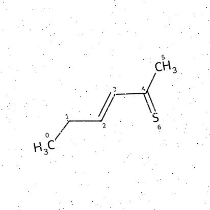 CCC=CC(C)=S